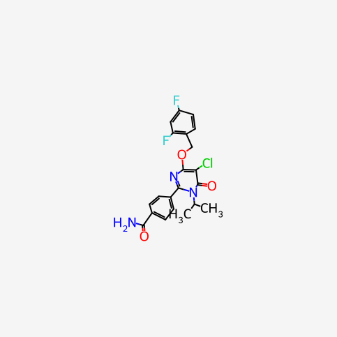 CC(C)n1c(-c2ccc(C(N)=O)cc2)nc(OCc2ccc(F)cc2F)c(Cl)c1=O